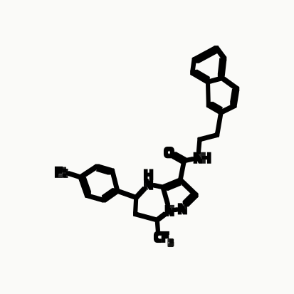 CCc1ccc(C2CC(C(F)(F)F)n3ncc(C(=O)NCCc4ccc5ccccc5c4)c3N2)cc1